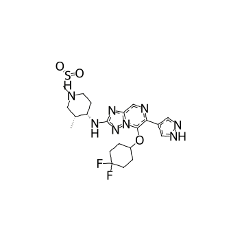 C[C@@H]1CN(C[SH](=O)=O)CC[C@@H]1Nc1nc2cnc(-c3cn[nH]c3)c(OC3CCC(F)(F)CC3)n2n1